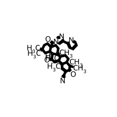 CC1(C)CCC2(C(=O)n3cnc(-c4ccccn4)c3)CCC3(C)[C@@H](C(=O)C=C4C5(C)C=C(C#N)C(=O)C(C)(C)C5CCC43C)C2C1